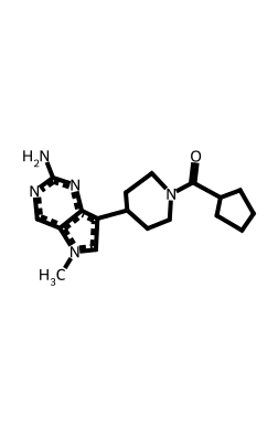 Cn1cc(C2CCN(C(=O)C3CCCC3)CC2)c2nc(N)ncc21